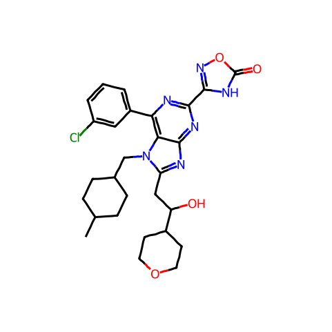 CC1CCC(Cn2c(CC(O)C3CCOCC3)nc3nc(-c4noc(=O)[nH]4)nc(-c4cccc(Cl)c4)c32)CC1